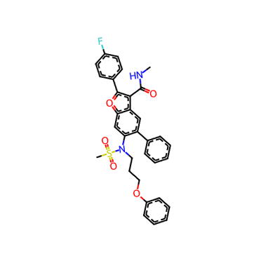 CNC(=O)c1c(-c2ccc(F)cc2)oc2cc(N(CCCOc3ccccc3)S(C)(=O)=O)c(-c3ccccc3)cc12